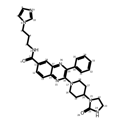 O=C(NCCCn1ccnc1)c1ccc2nc(N3CCC(N4CCNC4=O)CC3)c(-c3ccccc3)nc2c1